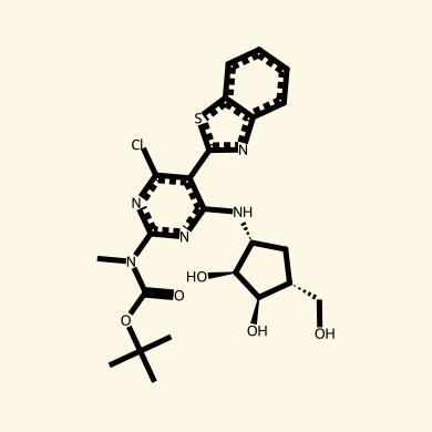 CN(C(=O)OC(C)(C)C)c1nc(Cl)c(-c2nc3ccccc3s2)c(N[C@@H]2C[C@H](CO)[C@@H](O)[C@H]2O)n1